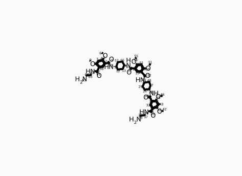 COc1cc(OC)c(C(=O)N[C@H]2CC[C@@H](NC(=O)c3cc(C(=O)N[C@H]4CC[C@@H](NC(=O)c5cc(C(=O)NCCN)c(OC)cc5OC)CC4)c(OC)cc3OC)CC2)cc1C(=O)NCCN